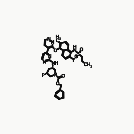 CCCS(=O)(=O)Nc1c(F)ccc2c(Oc3nnccc3-c3ccnc(N[C@H]4C[C@H](F)CN(C(=O)OCc5ccccc5)C4)n3)c(C)ccc12